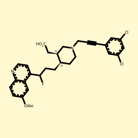 COc1ccc2nccc(C(F)CC[C@@H]3CCN(CC#Cc4cc(Cl)cc(Cl)c4)C[C@@H]3CC(=O)O)c2c1